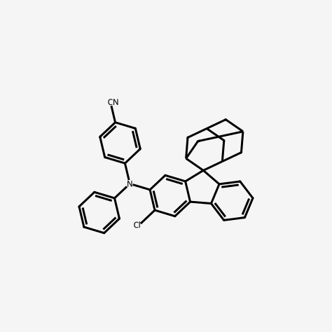 N#Cc1ccc(N(c2ccccc2)c2cc3c(cc2Cl)-c2ccccc2C32C3CC4CC(C3)CC2C4)cc1